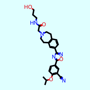 CC(C)Oc1ccc(-c2nc(-c3ccc4c(c3)CCN(CC(=O)NCCCO)CC4)no2)cc1C#N